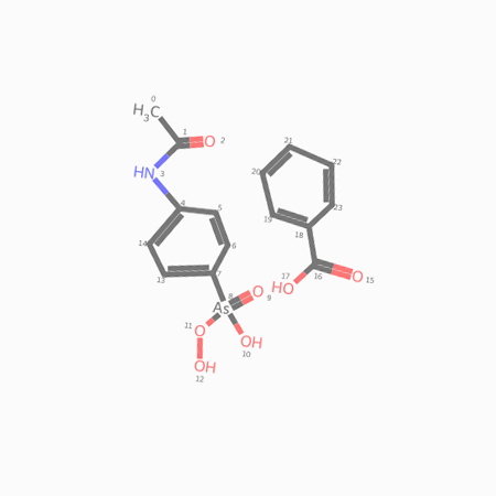 CC(=O)Nc1ccc([As](=O)(O)OO)cc1.O=C(O)c1ccccc1